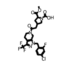 COC(=O)C1CC(CC(=O)N2CCc3c(C(F)(F)F)nn(Cc4ccc(Cl)cc4F)c3C2)CN1C(=O)O